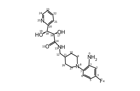 Nc1cc(F)ccc1N1CCC(CNC(=O)[C@H](O)[C@@H](O)c2ccccn2)CC1